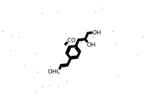 CC(=O)O.O=CC=Cc1ccc(CC(O)CO)cc1